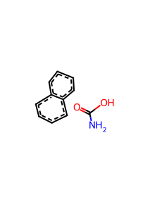 NC(=O)O.c1ccc2ccccc2c1